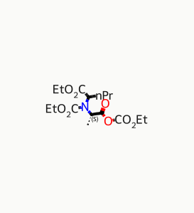 CCCC(C(=O)OCC)N(C(=O)OCC)[C@@H](C)C(=O)OC(=O)OCC